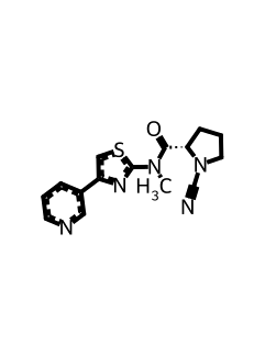 CN(C(=O)[C@@H]1CCCN1C#N)c1nc(-c2cccnc2)cs1